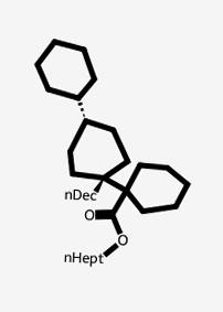 CCCCCCCCCC[C@]1(C2(C(=O)OCCCCCCC)CCCCC2)CC[C@@H](C2CCCCC2)CC1